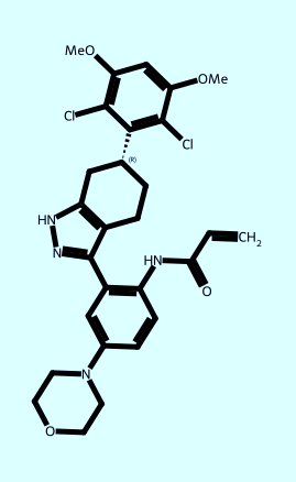 C=CC(=O)Nc1ccc(N2CCOCC2)cc1-c1n[nH]c2c1CC[C@@H](c1c(Cl)c(OC)cc(OC)c1Cl)C2